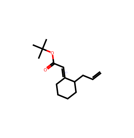 C=CCC1CCCC/C1=C\C(=O)OC(C)(C)C